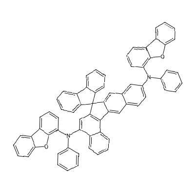 c1ccc(N(c2ccc3cc4c(cc3c2)C2(c3ccccc3-c3ccccc32)c2cc(N(c3ccccc3)c3cccc5c3oc3ccccc35)c3ccccc3c2-4)c2cccc3c2oc2ccccc23)cc1